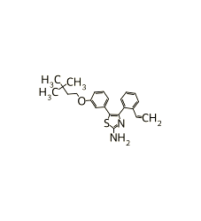 C=Cc1ccccc1-c1nc(N)sc1-c1cccc(OCCC(C)(C)C)c1